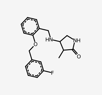 CC1C(=O)NCC1NCc1ccccc1OCc1cccc(F)c1